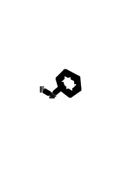 F[Si]c1ccccc1